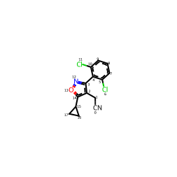 N#CCc1c(-c2c(Cl)cccc2Cl)noc1C1CC1